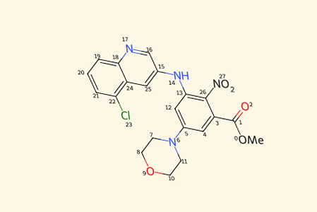 COC(=O)c1cc(N2CCOCC2)cc(Nc2cnc3cccc(Cl)c3c2)c1[N+](=O)[O-]